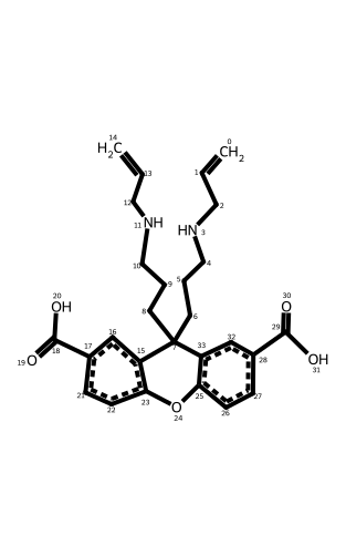 C=CCNCCCC1(CCCNCC=C)c2cc(C(=O)O)ccc2Oc2ccc(C(=O)O)cc21